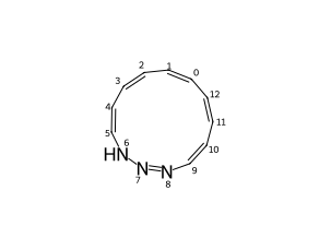 c1ccccc[nH]nncccc1